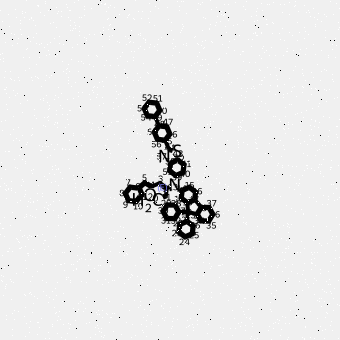 C=C/C(=C\c1cc2ccccc2o1)N(c1ccc2c(c1)C(c1ccccc1)(c1ccccc1)c1ccccc1-2)c1ccc2sc(-c3ccc(-c4ccccc4)cc3)nc2c1